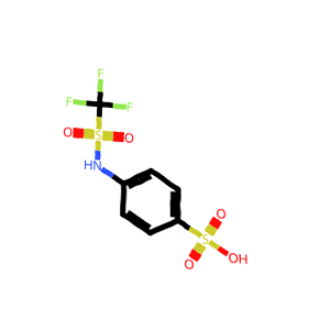 O=S(=O)(O)c1ccc(NS(=O)(=O)C(F)(F)F)cc1